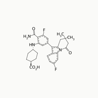 CC1(C)CC(=O)n2c(c(-c3cc(F)c(C(N)=O)c(N[C@H]4CC[C@H](C(=O)O)CC4)c3)c3ccc(F)cc32)C1